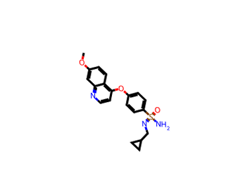 COc1ccc2c(Oc3ccc(S(N)(=O)=NCC4CC4)cc3)ccnc2c1